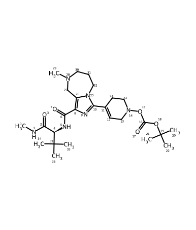 CNC(=O)[C@@H](NC(=O)c1nc(C2=CCN(OC(=O)OC(C)(C)C)CC2)n2c1CN(C)CCC2)C(C)(C)C